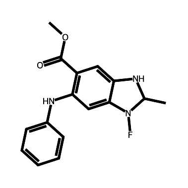 COC(=O)c1cc2c(cc1Nc1ccccc1)N(F)C(C)N2